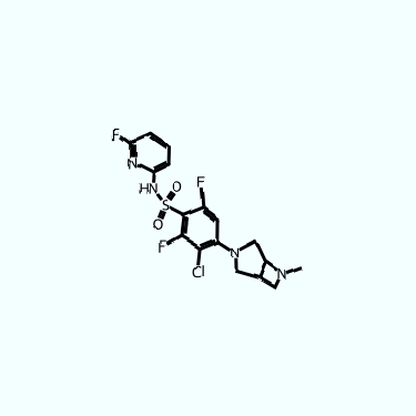 CN1CC2CN(c3cc(F)c(S(=O)(=O)Nc4cccc(F)n4)c(F)c3Cl)CC21